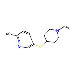 CC(C)(C)N1CCC(Sc2ccc(C#N)nc2)CC1